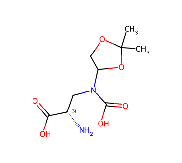 CC1(C)OCC(N(C[C@H](N)C(=O)O)C(=O)O)O1